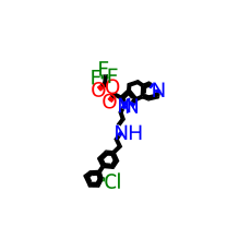 O=C(OC(=O)C(F)(F)F)c1c2c(nn1CCCNCCc1ccc(-c3ccccc3Cl)cc1)-c1ccncc1CC2